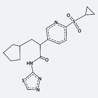 O=C(Nc1nncs1)C(CC1CCCC1)c1ccc(S(=O)(=O)C2CC2)nc1